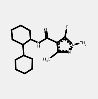 Cc1nn(C)c(F)c1C(=O)NC1CCCCC1C1CCCCC1